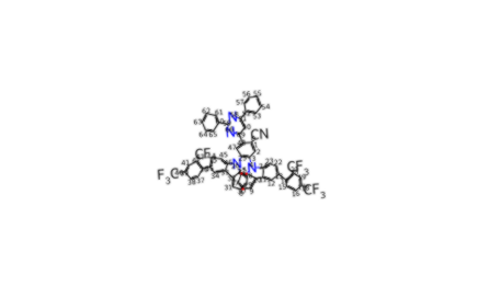 N#Cc1cc(-n2c3ccccc3c3cc(-c4ccc(C(F)(F)F)cc4C(F)(F)F)ccc32)c(-n2c3ccccc3c3cc(-c4ccc(C(F)(F)F)cc4C(F)(F)F)ccc32)cc1-c1cc(-c2ccccc2)nc(-c2ccccc2)n1